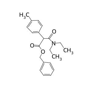 CCN(CC)C(=O)C(C(=O)OCc1ccccc1)c1ccc(C)cc1